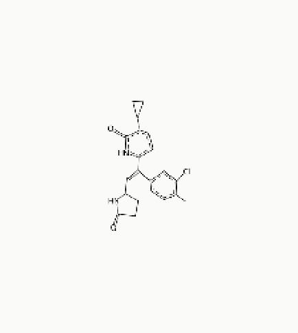 Cc1ccc(/C(=C\C2CCC(=O)N2)c2ccc(C3CC3)c(=O)[nH]2)cc1Cl